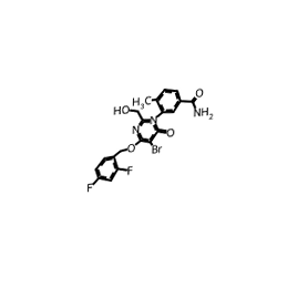 Cc1ccc(C(N)=O)cc1-n1c(CO)nc(OCc2ccc(F)cc2F)c(Br)c1=O